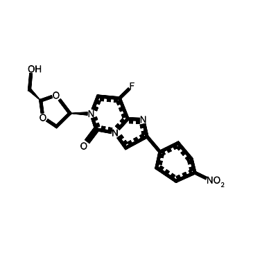 O=c1n([C@H]2CO[C@@H](CO)O2)cc(F)c2nc(-c3ccc([N+](=O)[O-])cc3)cn12